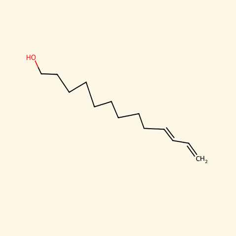 C=C/C=C/CCCCCCCCCO